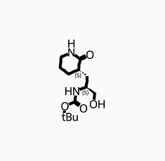 CC(C)(C)OC(=O)N[C@H](CO)C[C@@H]1CCCNC1=O